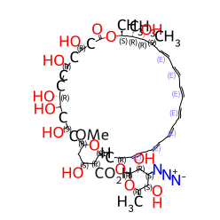 CO[C@]12C[C@@H](O)CC(O)[C@H](O)CC[C@@H](O)C[C@@H](O)CC(=O)O[C@@H](C)[C@H](C)[C@H](O)[C@@H](C)/C=C/C=C/C=C/C=C/C=C/C=C/C=C/[C@H](O[C@@H]3O[C@H](C)[C@@H](O)[C@H](N=[N+]=[N-])[C@H]3O)C[C@H](O1)[C@H](C(=O)O)[C@@H](O)C2